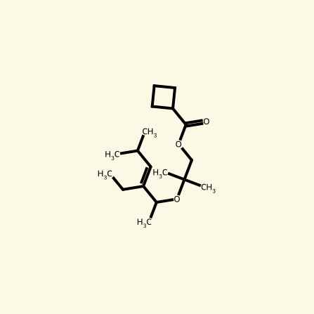 CCC(=CC(C)C)C(C)OC(C)(C)COC(=O)C1CCC1